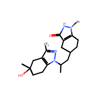 CC(CC1CCc2c(c(=O)[nH]n2C(C)C)C1)n1nc(C(F)(F)F)c2c1CCC(C)(O)C2